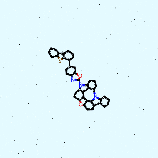 c1ccc2c(c1)sc1c(-c3ccc4nc(-n5c6ccc7oc8ccc9c%10ccccc%10n%10c%11cccc5c%11c6c7c8c9%10)oc4c3)cccc12